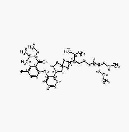 CCN(C(=O)c1cc(F)ccc1Oc1nncnc1N1CCC2(C1)CN([C@H](CCCNC(COC)COC)C(C)C)C2)C(C)C